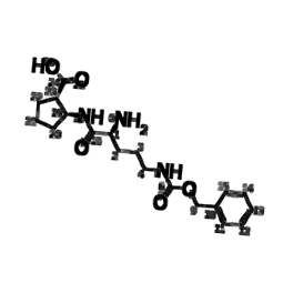 N[C@@H](CCCNC(=O)OCc1ccccc1)C(=O)N[C@H]1CCC[C@H]1C(=O)O